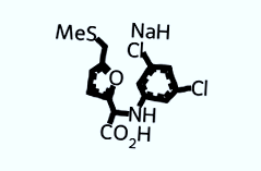 CSCc1ccc(C(Nc2cc(Cl)cc(Cl)c2)C(=O)O)o1.[NaH]